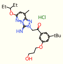 CCC(CC)Oc1cc(C)c2nn(CC(=O)c3cc(OCCCO)cc(C(C)(C)C)c3)c(=N)n2n1.Cl